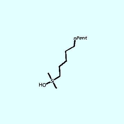 CCCCCCCCCC[Si](C)(C)O